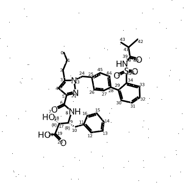 CCCc1cc(C(=O)N[C@H](Cc2ccccc2)[C@@H](O)C(=O)O)nn1Cc1ccc(-c2ccccc2S(=O)(=O)NC(=O)C(C)C)cc1